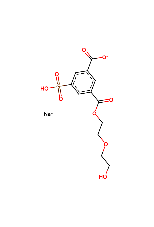 O=C([O-])c1cc(C(=O)OCCOCCO)cc(S(=O)(=O)O)c1.[Na+]